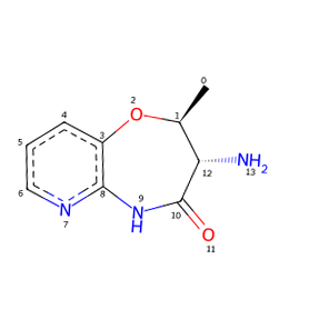 C[C@@H]1Oc2cccnc2NC(=O)[C@H]1N